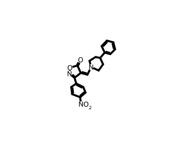 O=C1ON=C(c2ccc([N+](=O)[O-])cc2)/C1=C/N1CCC(c2ccccc2)CC1